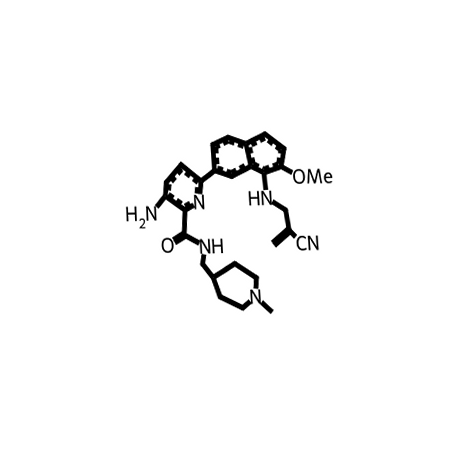 C=C(C#N)CNc1c(OC)ccc2ccc(-c3ccc(N)c(C(=O)NCC4CCN(C)CC4)n3)cc12